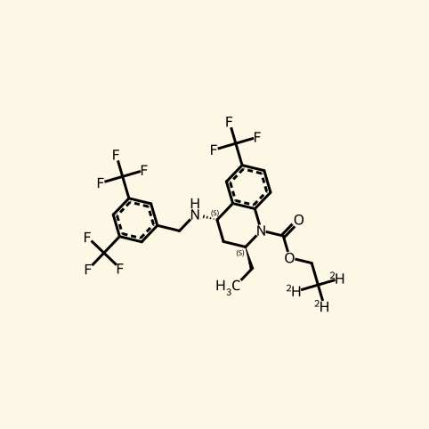 [2H]C([2H])([2H])COC(=O)N1c2ccc(C(F)(F)F)cc2[C@@H](NCc2cc(C(F)(F)F)cc(C(F)(F)F)c2)C[C@@H]1CC